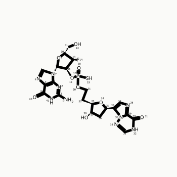 Nc1nc2c(ncn2[C@@H]2O[C@H](CO)[C@@H](F)[C@H]2OP(=O)(S)OCC[C@H]2O[C@@H](c3cnc4c(=O)[nH]cnn34)C[C@@H]2O)c(=O)[nH]1